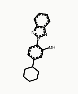 Oc1cc(C2CCCCC2)ccc1-n1nc2ccccc2n1